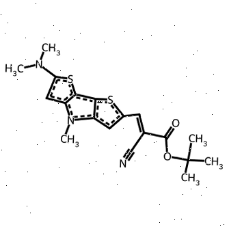 CN(C)c1cc2c(s1)c1sc(/C=C(\C#N)C(=O)OC(C)(C)C)cc1n2C